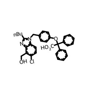 CCCCc1nc2c(CO)c(Cl)ccc2n1Cc1ccc(OC(C(=O)O)(c2ccccc2)c2ccccc2)cc1